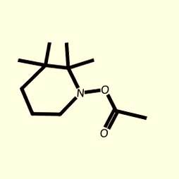 CC(=O)ON1CCCC(C)(C)C1(C)C